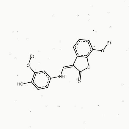 CCOc1cc(N/C=C2\C(=O)Oc3c(OCC)cccc32)ccc1O